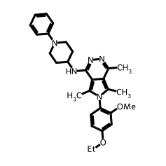 CCOc1ccc(-n2c(C)c3c(C)nnc(NC4CCN(c5ccccc5)CC4)c3c2C)c(OC)c1